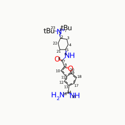 CC(C)(C)[N+]([C@H]1CC[C@@H](NC(=O)c2cc3cc(C(=N)N)ccc3o2)CC1)C(C)(C)C